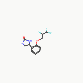 O=C1[N]CC(c2ccccc2OCC(F)C(F)F)N1